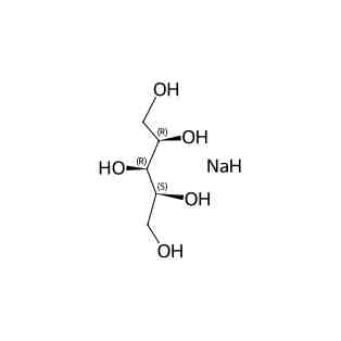 OC[C@@H](O)[C@H](O)[C@@H](O)CO.[NaH]